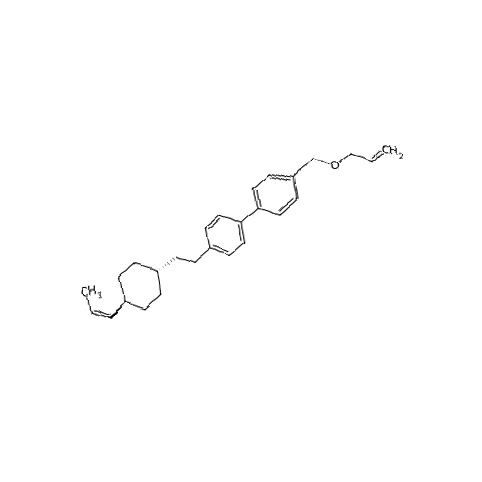 C=CCOCc1ccc(-c2ccc(CC[C@H]3CC[C@H](/C=C\C)CC3)cc2)cc1